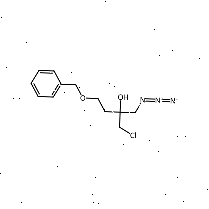 [N-]=[N+]=NCC(O)(CCl)CCOCc1ccccc1